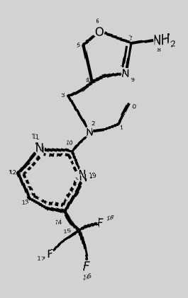 CCN(CC1COC(N)=N1)c1nccc(C(F)(F)F)n1